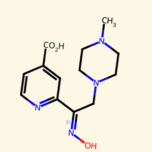 CN1CCN(C/C(=N\O)c2cc(C(=O)O)ccn2)CC1